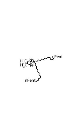 CCCCC/C=C\C/C=C\CCCCCCCCC1(CCCCCCCC/C=C\C/C=C\CCCCC)O[C@H]2C[C@@H](C)[C@@H](C)C[C@@H]2O1